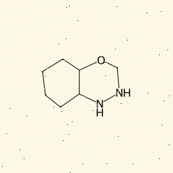 C1CCC2OCNNC2C1